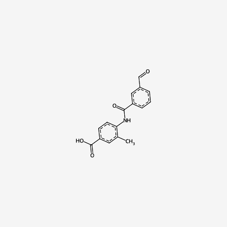 Cc1cc(C(=O)O)ccc1NC(=O)c1cccc(C=O)c1